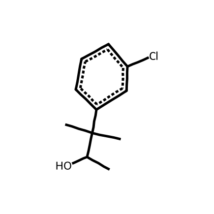 CC(O)C(C)(C)c1cccc(Cl)c1